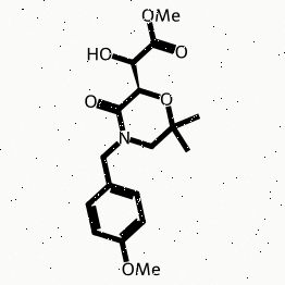 COC(=O)C(O)[C@H]1OC(C)(C)CN(Cc2ccc(OC)cc2)C1=O